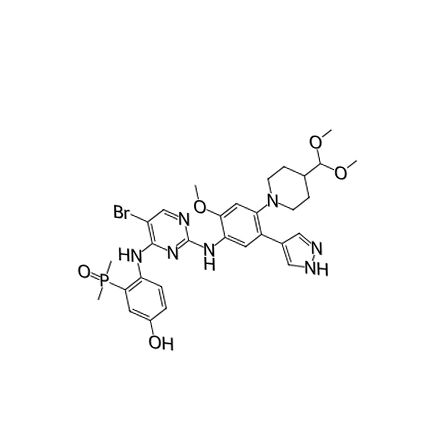 COc1cc(N2CCC(C(OC)OC)CC2)c(-c2cn[nH]c2)cc1Nc1ncc(Br)c(Nc2ccc(O)cc2P(C)(C)=O)n1